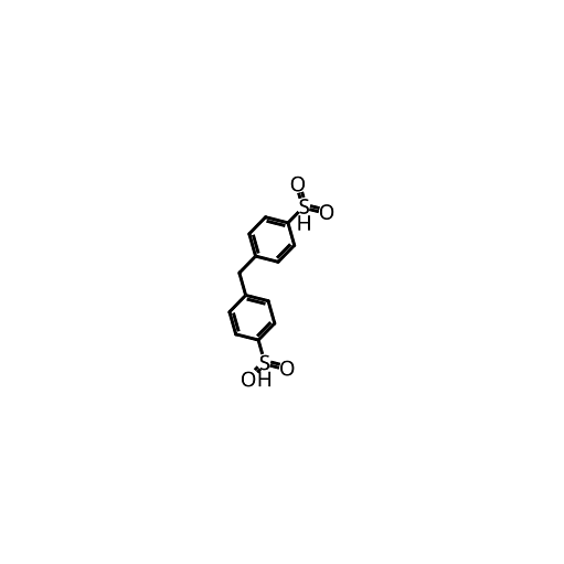 O=[SH](=O)c1ccc(Cc2ccc([SH](=O)=O)cc2)cc1